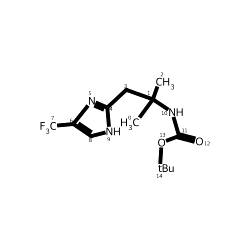 CC(C)(Cc1nc(C(F)(F)F)c[nH]1)NC(=O)OC(C)(C)C